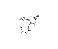 CCN1CC=C(C2CCCCC2)C(C(=O)O)C1